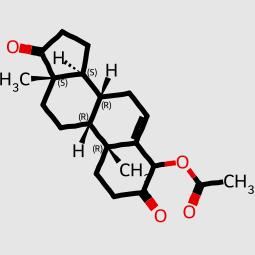 CC(=O)OC1C(=O)CC[C@@]2(C)C1=CC[C@@H]1[C@H]2CC[C@]2(C)C(=O)CC[C@@H]12